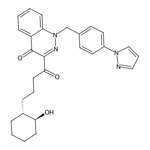 O=C(CCC[C@H]1CCCC[C@@H]1O)c1nn(Cc2ccc(-n3cccn3)cc2)c2ccccc2c1=O